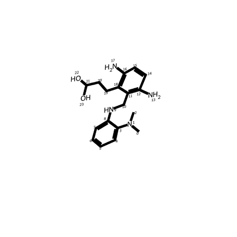 CN(C)c1ccccc1NCc1c(N)ccc(N)c1CCC(O)O